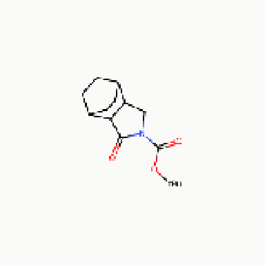 CC(C)(C)OC(=O)N1CC2C3CCC(CC3)C2C1=O